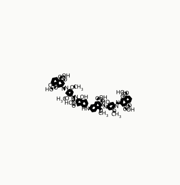 COc1cc(N=Nc2c(S(=O)(=O)O)cc3cc(Nc4ccc5c(O)c(N=Nc6cc(OC)c(N=Nc7cc(S(=O)(=O)O)c8cccc(S(=O)(=O)O)c8c7)cc6OC)c(S(=O)(=O)O)cc5c4)ccc3c2OC)c(O)cc1N=Nc1cc(S(=O)(=O)O)c2cccc(S(=O)(=O)O)c2c1